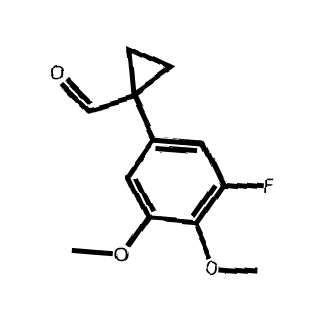 COc1cc(C2(C=O)CC2)cc(F)c1OC